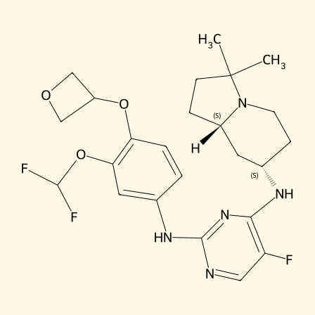 CC1(C)CC[C@H]2C[C@@H](Nc3nc(Nc4ccc(OC5COC5)c(OC(F)F)c4)ncc3F)CCN21